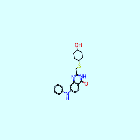 O=c1[nH]c(CSC2CCC(O)CC2)nc2cc(Nc3ccccc3)ccc12